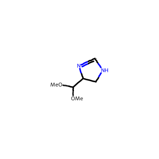 COC(OC)C1CN[C]=N1